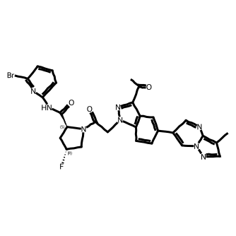 CC(=O)c1nn(CC(=O)N2C[C@H](F)C[C@H]2C(=O)Nc2cccc(Br)n2)c2ccc(-c3cnc4c(C)cnn4c3)cc12